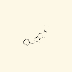 CC(C)(C)OC(=O)N1Cc2cn(Cc3cccnc3)nc2C1